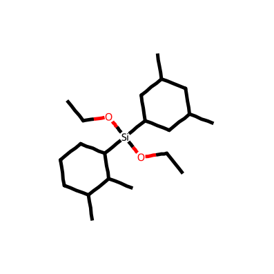 CCO[Si](OCC)(C1CC(C)CC(C)C1)C1CCCC(C)C1C